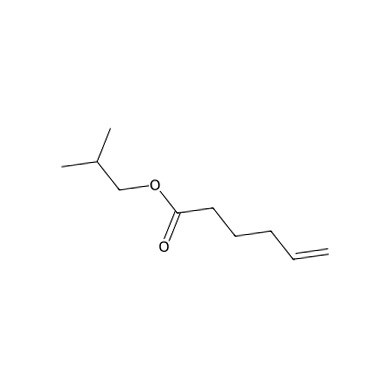 C=CCCCC(=O)OCC(C)C